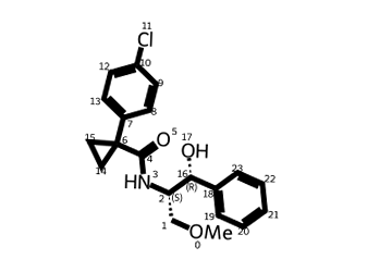 COC[C@H](NC(=O)C1(c2ccc(Cl)cc2)CC1)[C@H](O)c1ccccc1